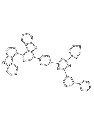 c1ccc(-c2cc(-c3ccc(-c4ccc(-c5cccc6oc7ccccc7c56)c5c4oc4ccccc45)cc3)nc(-c3cccc(-c4cccnc4)c3)n2)cc1